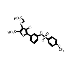 O=C(O)COc1c(C(=O)O)sc(-c2cccc(NS(=O)(=O)c3ccc(OC(F)(F)F)cc3)c2)c1Cl